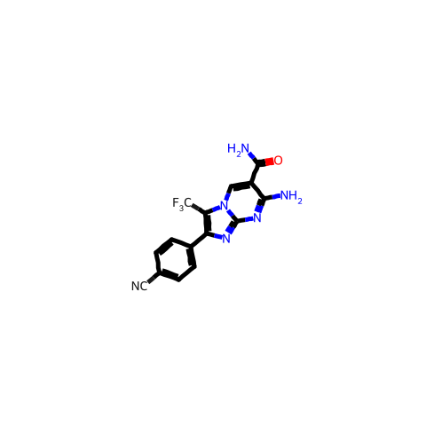 N#Cc1ccc(-c2nc3nc(N)c(C(N)=O)cn3c2C(F)(F)F)cc1